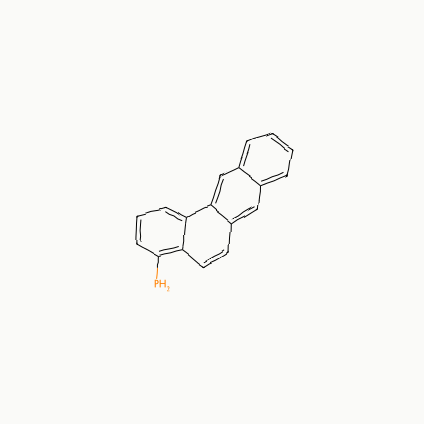 Pc1cccc2c1ccc1cc3ccccc3cc12